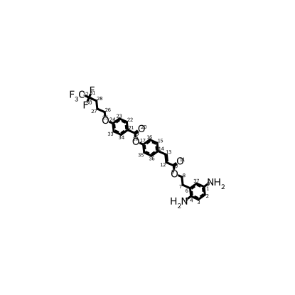 Nc1ccc(N)c(CCOC(=O)/C=C/c2ccc(OC(=O)c3ccc(OCCCC(F)(F)C(F)(F)F)cc3)cc2)c1